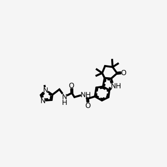 Cn1cncc1CNC(=O)CNC(=O)c1ccc2[nH]c3c(c2c1)C(C)(C)CC(C)(C)C3=O